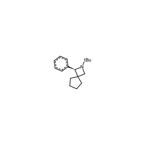 CC(C)(C)N1CC2(CCCC2)[C@H]1c1ccccc1